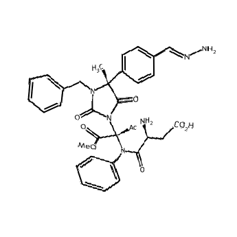 COC(=O)[C@](C(C)=O)(N1C(=O)N(Cc2ccccc2)[C@](C)(c2ccc(C=NN)cc2)C1=O)N(C(=O)[C@@H](N)CC(=O)O)c1ccccc1